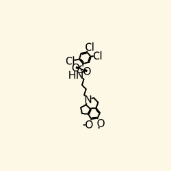 COc1cc2c3c(c1OC)CCC3N(CCCCNS(=O)(=O)c1cc(Cl)c(Cl)cc1Cl)CC2